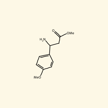 COC(=O)CC(N)c1ccc(OC)cc1